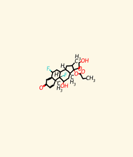 CCC(=O)O[C@]1(C(=O)CO)C(C)C[C@H]2[C@@H]3CC(F)C4=CC(=O)C=C[C@]4(C)[C@@]3(F)C(O)C[C@@]21C